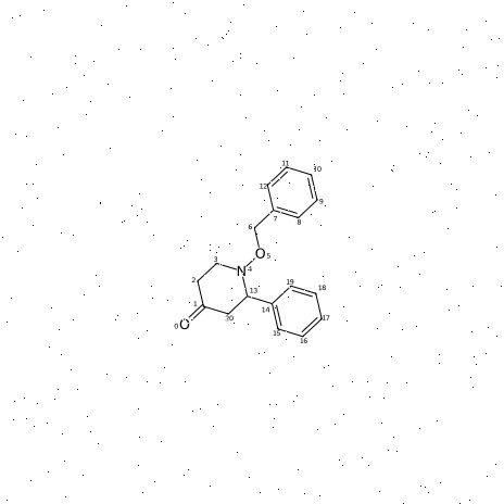 O=C1CCN(OCc2ccccc2)C(c2ccccc2)C1